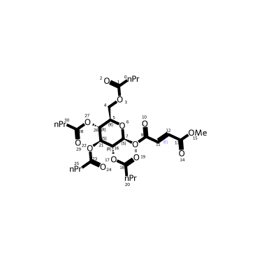 CCCC(=O)OC[C@H]1O[C@@H](OC(=O)/C=C/C(=O)OC)[C@H](OC(=O)CCC)[C@@H](OC(=O)CCC)[C@@H]1OC(=O)CCC